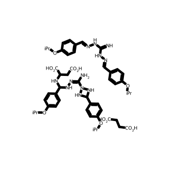 CC(C)Oc1ccc(C(NN=C(N)N2NC(c3ccc(OC(C)C)cc3)N2)NC(CC(=O)O)C(=O)O)cc1.CC(C)Oc1ccc(C=NNC(=N)NN=Cc2ccc(OC(C)C)cc2)cc1.O=C(O)CCC(=O)O